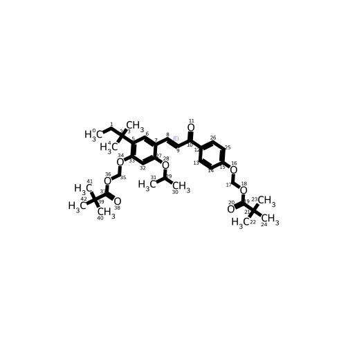 CCC(C)(C)c1cc(/C=C/C(=O)c2ccc(OCOC(=O)C(C)(C)C)cc2)c(OC(C)C)cc1OCOC(=O)C(C)(C)C